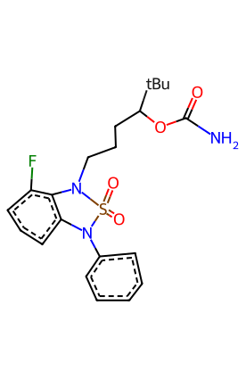 CC(C)(C)C(CCCN1c2c(F)cccc2N(c2ccccc2)S1(=O)=O)OC(N)=O